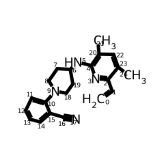 C=Cc1nc(NC2CCN(c3ccccc3C#N)CC2)c(C)cc1C